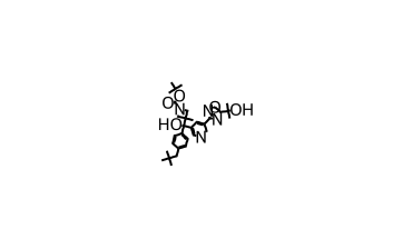 CC(C)(C)Cc1ccc(C(O)(c2cncc(-c3noc(C(C)(C)O)n3)c2)C2(C)CN(C(=O)OC(C)(C)C)C2)cc1